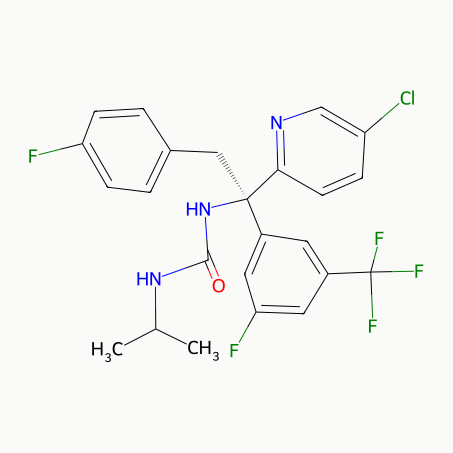 CC(C)NC(=O)N[C@](Cc1ccc(F)cc1)(c1cc(F)cc(C(F)(F)F)c1)c1ccc(Cl)cn1